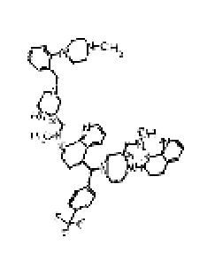 CN1CCN(c2ccccc2CN2CCN[C@H](CN(C)[C@H]3CCC(C(c4ccc(C(F)(F)F)cc4)N4CCN[C@H](CN(C)[C@H]5CCCc6cccnc65)C4)c4cccnc43)C2)CC1